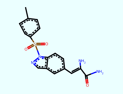 Cc1ccc(S(=O)(=O)n2ncc3cc(/C=C(\N)C(N)=O)ccc32)cc1